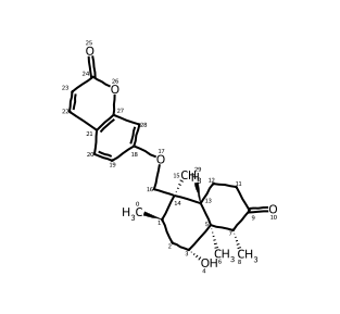 C[C@@H]1C[C@@H](O)[C@]2(C)[C@@H](C)C(=O)CC[C@H]2[C@]1(C)COc1ccc2ccc(=O)oc2c1